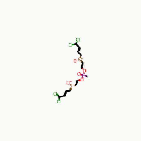 CP(=O)(OCC[S+]([O-])CC=CC(Cl)Cl)OCC[S+]([O-])CC=CC(Cl)Cl